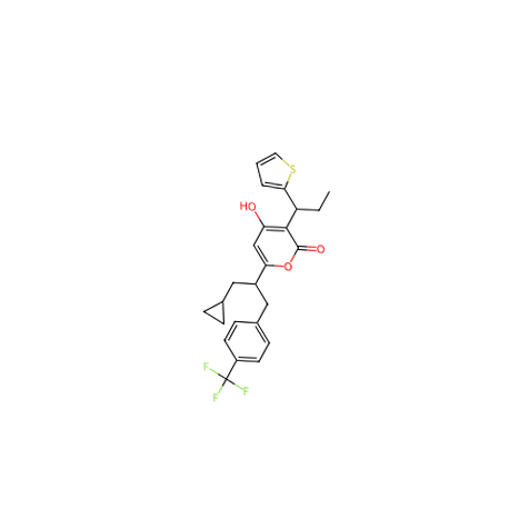 CCC(c1cccs1)c1c(O)cc(C(Cc2ccc(C(F)(F)F)cc2)CC2CC2)oc1=O